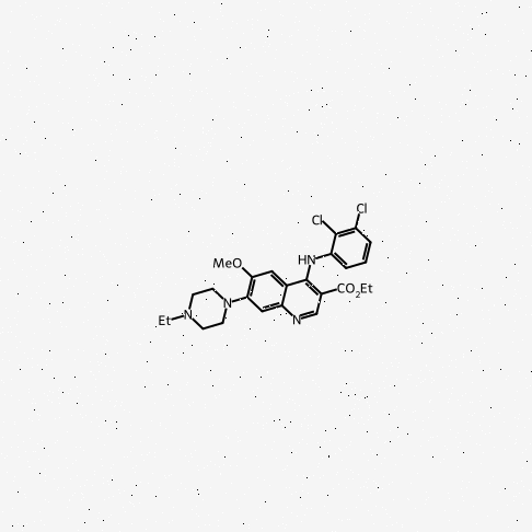 CCOC(=O)c1cnc2cc(N3CCN(CC)CC3)c(OC)cc2c1Nc1cccc(Cl)c1Cl